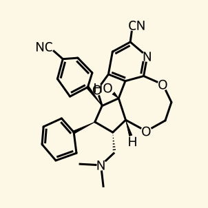 CN(C)C[C@H]1[C@H]2OCCOc3nc(C#N)cc4c3[C@@]2(O)[C@@](c2ccc(C#N)cc2)(O4)[C@@H]1c1ccccc1